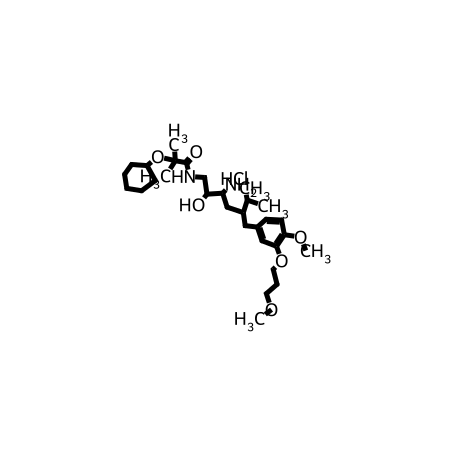 COCCCOc1cc(CC(CC(N)C(O)CNC(=O)C(C)(C)OC2CCCCC2)C(C)C)ccc1OC.Cl